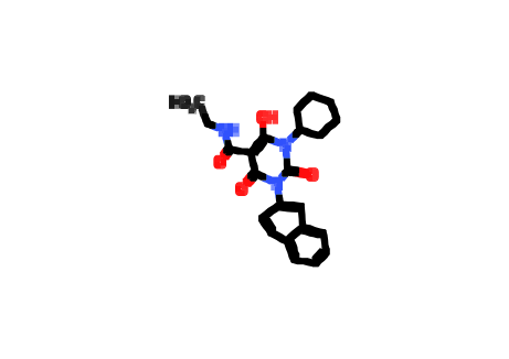 O=C(O)CNC(=O)c1c(O)n(C2CCCCC2)c(=O)n(-c2ccc3ccccc3c2)c1=O